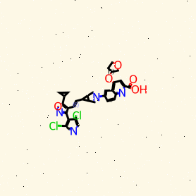 O=C(O)c1cc(O[C@H]2CCOC2)c2cc(N3CC4C(/C=C/c5c(-c6c(Cl)cncc6Cl)noc5C5CC5)C4C3)ccc2n1